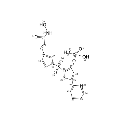 CS(=O)(=O)O.O=C(C=Cc1ccn(S(=O)(=O)c2ccc(-c3ccccn3)s2)c1)NO